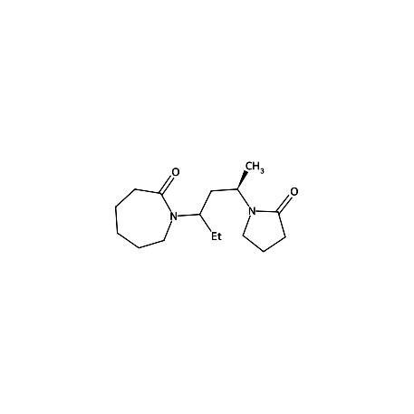 CCC(C[C@@H](C)N1CCCC1=O)N1CCCCCC1=O